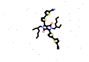 C#Cc1ccc(-c2ccc(C3=C4C(=O)N(CC(CC)CCCC)C(c5ccc(-c6ccc(C#N)s6)s5)=C4C(=O)N3CC(CC)CCCC)s2)s1